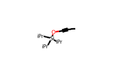 CC#CO[Si](C(C)C)(C(C)C)C(C)C